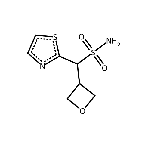 NS(=O)(=O)C(c1nccs1)C1COC1